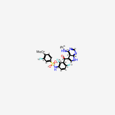 COc1ccc(S(=O)(=O)Nc2ccc(F)c(C(=O)c3c[nH]c4ncnc(NC(C)C)c34)c2F)cc1F